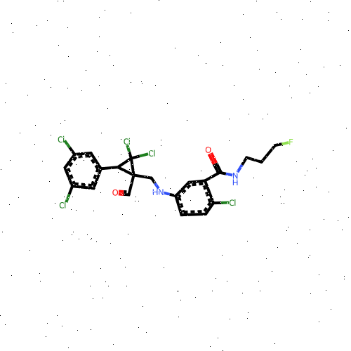 O=CC1(CNc2ccc(Cl)c(C(=O)NCCCF)c2)C(c2cc(Cl)cc(Cl)c2)C1(Cl)Cl